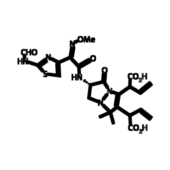 C=CC(C(=O)O)C1=C(C(C=C)C(=O)O)C(C)(C)N2C[C@H](NC(=O)/C(=N\OC)c3csc(NC=O)n3)C(=O)N12